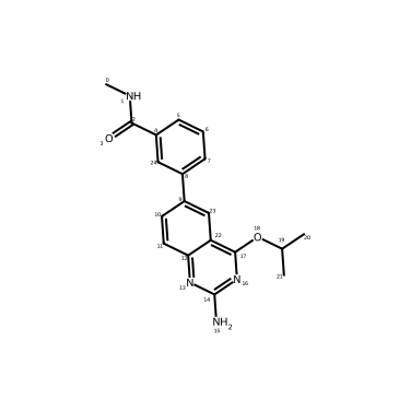 CNC(=O)c1cccc(-c2ccc3nc(N)nc(OC(C)C)c3c2)c1